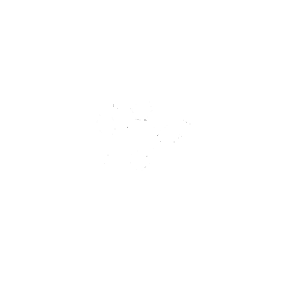 CC(C(=O)O)c1ccc(-c2ccccc2)c(F)c1.O=C([O-])Cc1ccccc1Nc1c(Cl)cccc1Cl.[Na+]